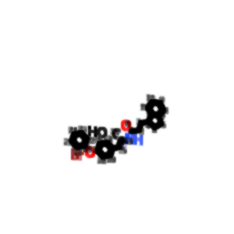 O=C(CCC1CCc2ccccc21)N/C(=C/c1ccc(Oc2ccccc2Br)cc1)C(=O)O